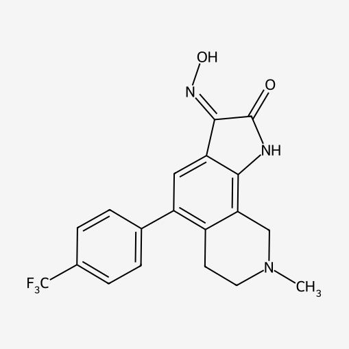 CN1CCc2c(-c3ccc(C(F)(F)F)cc3)cc3c(c2C1)NC(=O)C3=NO